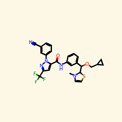 CN1C=CSC1C(OCC1CC1)c1cccc(NC(=O)c2cc(C(F)(F)F)nn2-c2cccc(C#N)c2)c1